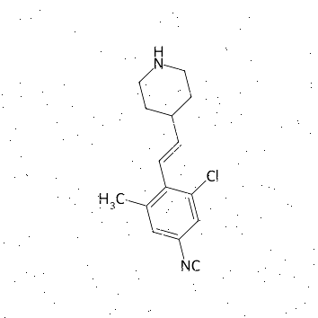 [C-]#[N+]c1cc(C)c(/C=C/C2CCNCC2)c(Cl)c1